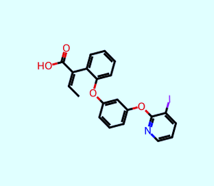 C/C=C(/C(=O)O)c1ccccc1Oc1cccc(Oc2ncccc2I)c1